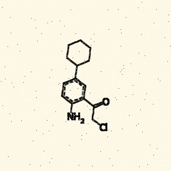 Nc1ccc(C2CCCCC2)cc1C(=O)CCl